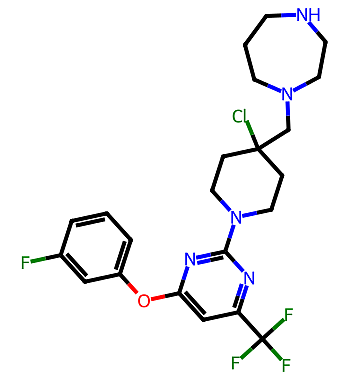 Fc1cccc(Oc2cc(C(F)(F)F)nc(N3CCC(Cl)(CN4CCCNCC4)CC3)n2)c1